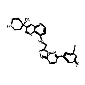 OC1(c2cnc3c(NCc4nnc5ccc(-c6cc(F)cc(F)c6)nn45)ccnc3c2)CCNCC1